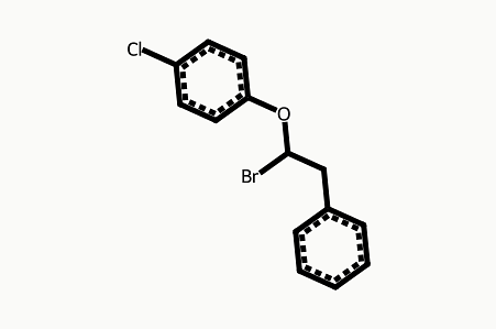 Clc1ccc(OC(Br)Cc2ccccc2)cc1